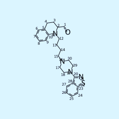 O=CC1CCc2ccccc2N1CCCCN1CCN(c2nsc3ccccc23)CC1